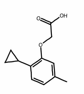 Cc1ccc(C2CC2)c(OCC(=O)O)c1